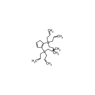 C=CC[Si](CC=C)(CC=C)C1=C([Si](CC=C)(CC=C)CC=C)CC=C1